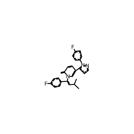 C=C1C=CC(c2ccnn2-c2ccc(F)cc2)=CN1/C(=C\C(C)C)c1ccc(F)cc1